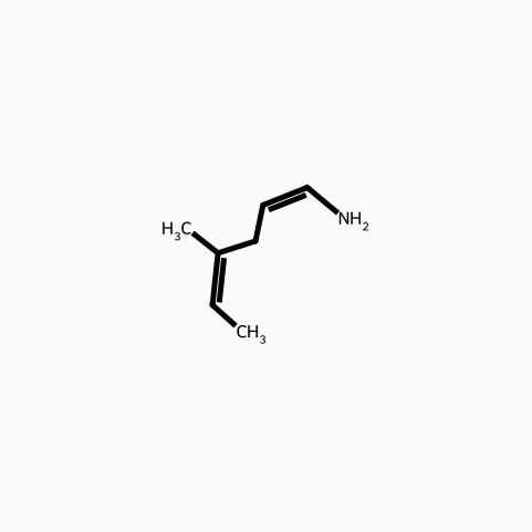 C/C=C(/C)C/C=C\N